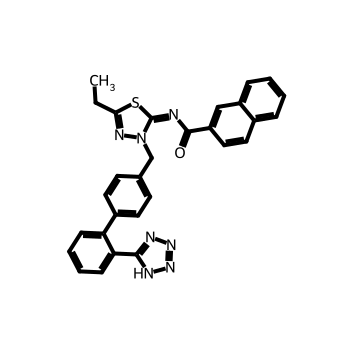 CCc1nn(Cc2ccc(-c3ccccc3-c3nnn[nH]3)cc2)c(=NC(=O)c2ccc3ccccc3c2)s1